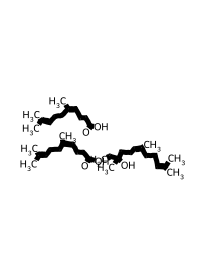 C=CC(C)(O)CCC=C(C)CCC=C(C)C.CC(C)=CCC/C(C)=C\CCC(=O)O.CC(C)=CCC/C(C)=C\CCC(=O)O